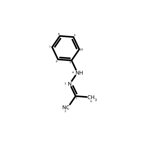 CC(C#N)=NNc1ccccc1